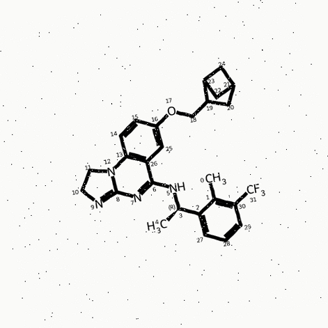 Cc1c([C@@H](C)NC2=NC3=NCCN3c3ccc(OCC4CC5CC4C5)cc32)cccc1C(F)(F)F